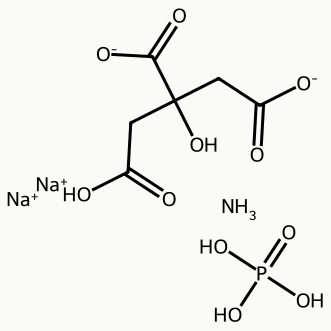 N.O=C([O-])CC(O)(CC(=O)O)C(=O)[O-].O=P(O)(O)O.[Na+].[Na+]